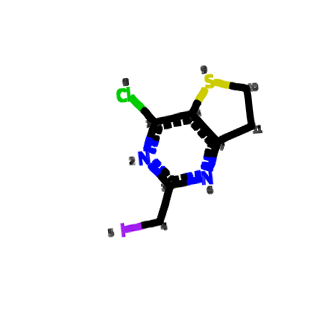 Clc1nc(CI)nc2c1SCC2